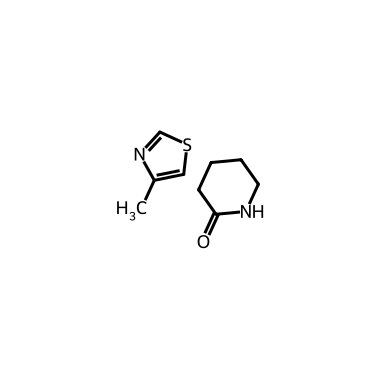 Cc1cscn1.O=C1CCCCN1